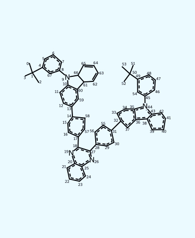 CC(C)(C)c1cccc(N2c3ccc(-c4ccc(-c5nc6ccccc6nc5-c5ccc(-c6ccc7c(c6)c6ccccc6n7-c6cccc(C(C)(C)C)c6)cc5)cc4)cc3C3C=CC=CC32)c1